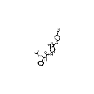 N#CC1CCC(Oc2n[nH]c3cc(NC(=O)N[C@H](COC(F)F)c4ccccc4)ncc23)CC1